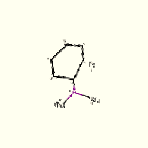 CC(C)(C)P(C1CCCCC1)C(C)(C)C.[Pd]